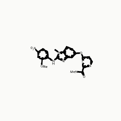 CNC(=O)c1cc(Oc2ccc3c(c2)nc(Nc2ccc([N+](=O)[O-])cc2OC)n3C)ccn1